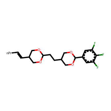 CCC/C=C/C1COC(CCC2COC(c3cc(F)c(F)c(F)c3)OC2)OC1